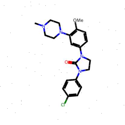 COc1ccc(N2CCN(c3ccc(Cl)cc3)C2=O)cc1N1CCN(C)CC1